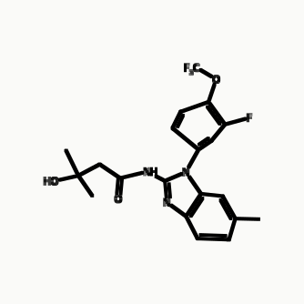 Cc1ccc2nc(NC(=O)CC(C)(C)O)n(-c3ccc(OC(F)(F)F)c(F)c3)c2c1